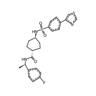 C[C@@H](NC(=O)[C@H]1CC[C@H](NS(=O)(=O)c2ccc(-c3cscn3)cc2)CC1)c1ccc(F)cc1